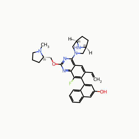 C=Cc1cc2c(N3C[C@H]4CC[C@@H](C3)N4)nc(OC[C@@H]3CCCN3C)nc2c(F)c1-c1cc(O)cc2ccccc12